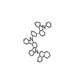 c1ccc(-n2c3ccccc3c3c(-c4cccc(-n5c6ccccc6c6c7c8ccccc8n(-c8cc9ccccc9c9ccccc89)c7ccc65)c4)cccc32)cc1